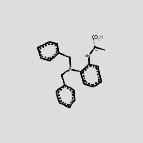 C[C@H](Nc1ccccc1N(Cc1ccccc1)Cc1ccccc1)C(=O)O